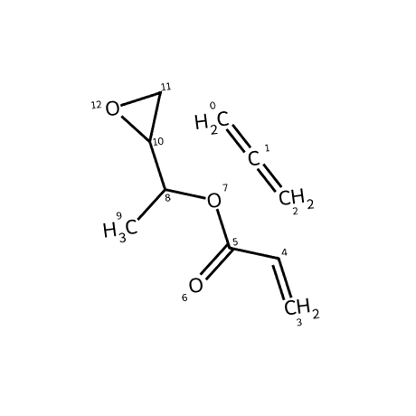 C=C=C.C=CC(=O)OC(C)C1CO1